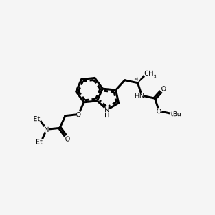 CCN(CC)C(=O)COc1cccc2c(C[C@@H](C)NC(=O)OC(C)(C)C)c[nH]c12